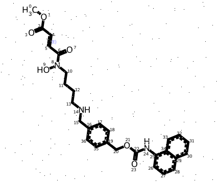 COC(=O)/C=C/C(=O)N(O)CCCCNCc1ccc(COC(=O)Nc2cccc3ccccc23)cc1